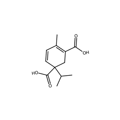 CC1=C(C(=O)O)CC(C(=O)O)(C(C)C)C=C1